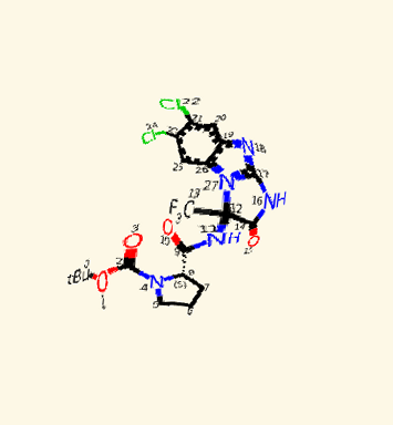 CC(C)(C)OC(=O)N1CCC[C@H]1C(=O)NC1(C(F)(F)F)C(=O)Nc2nc3cc(Cl)c(Cl)cc3n21